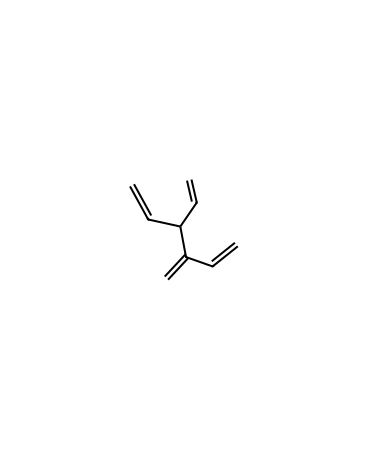 C=CC(=C)C(C=C)C=C